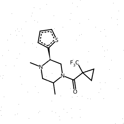 CC1CN(C)[C@@H](c2cccs2)CN1C(=O)C1(C(F)(F)F)CC1